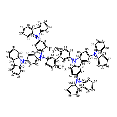 FC(F)(F)c1ccc(-n2c3ccc(-n4c5ccccc5c5ccccc54)cc3c3cc(-n4c5ccccc5c5ccccc54)ccc32)cc1-c1cc(-n2c3ccc(-n4c5ccccc5c5ccccc54)cc3c3cc(-n4c5ccccc5c5ccccc54)ccc32)ccc1C(F)(F)F